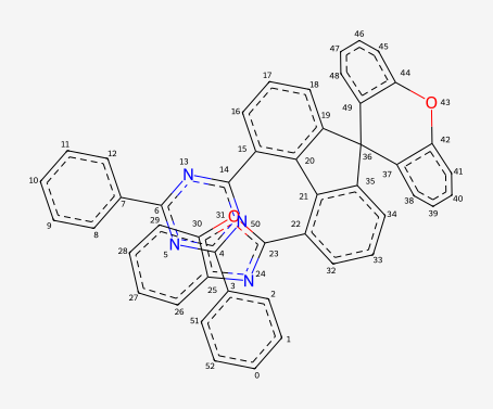 c1ccc(-c2nc(-c3ccccc3)nc(-c3cccc4c3-c3c(-c5nc6ccccc6o5)cccc3C43c4ccccc4Oc4ccccc43)n2)cc1